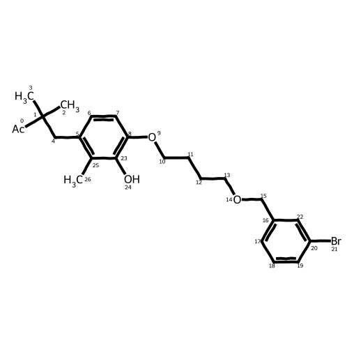 CC(=O)C(C)(C)Cc1ccc(OCCCCOCc2cccc(Br)c2)c(O)c1C